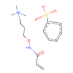 C=CC(=O)NOCCC[N+](C)(C)C.O=S(=O)([O-])c1ccccc1